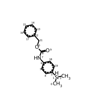 C[SiH](C)c1ccc(NC(=O)OCc2ccccc2)cc1